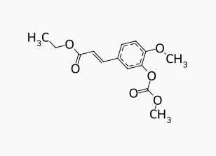 CCOC(=O)C=Cc1ccc(OC)c(OC(=O)OC)c1